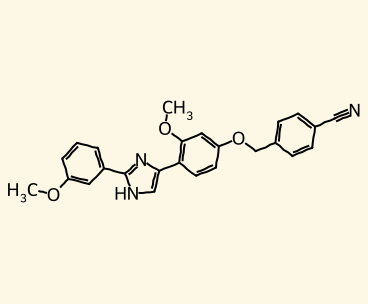 COc1cccc(-c2nc(-c3ccc(OCc4ccc(C#N)cc4)cc3OC)c[nH]2)c1